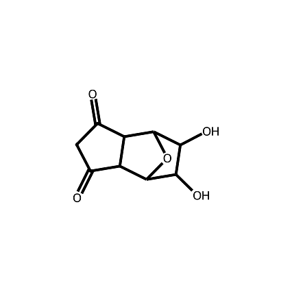 O=C1CC(=O)C2C3OC(C(O)C3O)C12